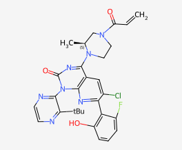 C=CC(=O)N1CCN(c2nc(=O)n(-c3nccnc3C(C)(C)C)c3nc(-c4c(O)cccc4F)c(Cl)cc23)[C@@H](C)C1